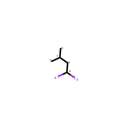 CC(C)CC(I)I